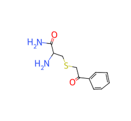 NC(=O)C(N)CSCC(=O)c1ccccc1